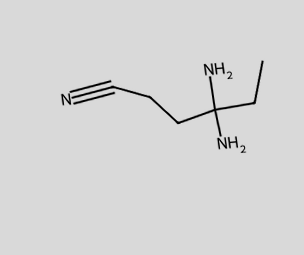 CCC(N)(N)CCC#N